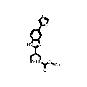 CC(C)CC(CNC(=O)OC(C)(C)C)c1nc2cc(-c3cnco3)ccc2[nH]1